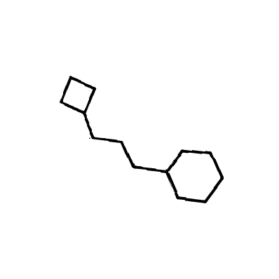 [CH](CCC1CCCCC1)C1CCC1